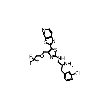 NC(CNc1nc(COCC(F)(F)F)c(-c2nc3ccncc3s2)s1)Cc1cccc(Cl)c1